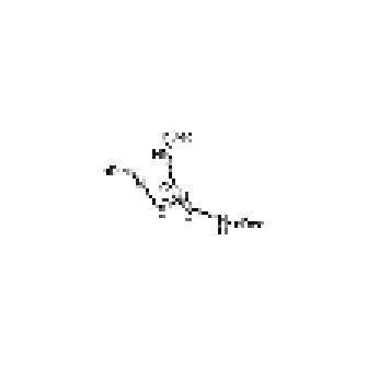 CCCCCCCCCCCCNCCCCCC(=O)OCC(CC)(COC(=O)CCCCCNCCCCCCCCCCCC)COC(=O)CCCCCNCCCCCCCCCCCC